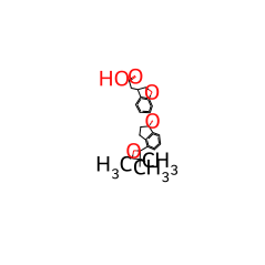 CC1OC(c2cccc3c2CC[C@H]3Oc2ccc3c(c2)OCC3CC(=O)O)C1(C)C